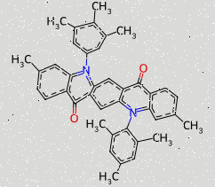 Cc1cc(C)c(-n2c3cc(C)ccc3c(=O)c3cc4c(cc32)c(=O)c2ccc(C)cc2n4-c2cc(C)c(C)c(C)c2)c(C)c1